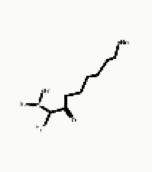 CCCCCCCCCCCCCCCC(=O)C(C)N(CC)CCC